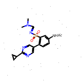 CC(=O)Nc1ccc(-c2cnc(C3CC3)nc2)c(S(=O)(=O)/N=C/N(C)C)c1